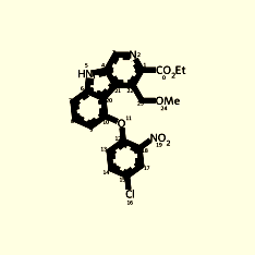 CCOC(=O)c1ncc2[nH]c3cccc(Oc4ccc(Cl)cc4[N+](=O)[O-])c3c2c1COC